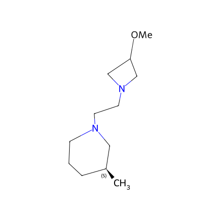 COC1CN(CCN2CCC[C@H](C)C2)C1